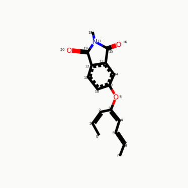 C\C=C/C(=C\C=C\C)Oc1ccc2c(c1)C(=O)N(C)C2=O